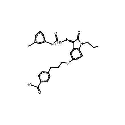 CCCN1C(=O)/C(=N/NC(=O)Nc2cccc(F)c2)c2cc(SCCCc3ccc(C(=O)O)cc3)ccc21